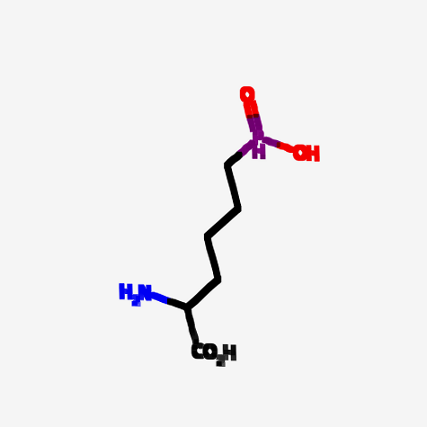 NC(CCCC[PH](=O)O)C(=O)O